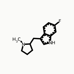 CN1CCCC1Cc1c[nH]c2cc(F)ccc12